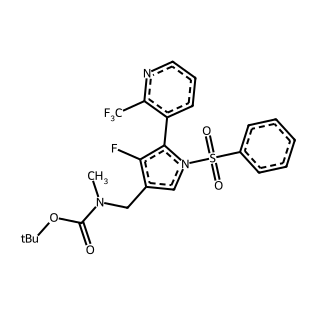 CN(Cc1cn(S(=O)(=O)c2ccccc2)c(-c2cccnc2C(F)(F)F)c1F)C(=O)OC(C)(C)C